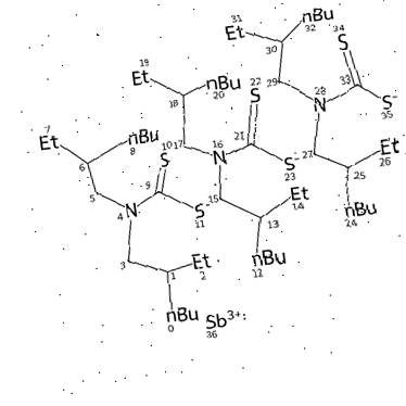 CCCCC(CC)CN(CC(CC)CCCC)C(=S)[S-].CCCCC(CC)CN(CC(CC)CCCC)C(=S)[S-].CCCCC(CC)CN(CC(CC)CCCC)C(=S)[S-].[Sb+3]